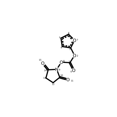 O=C(Oc1ccco1)ON1C(=O)CCC1=O